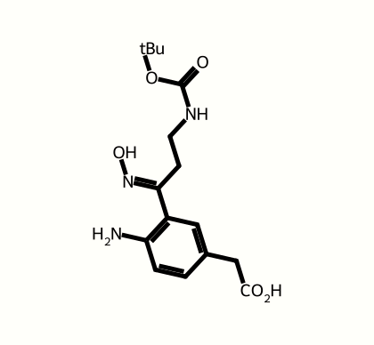 CC(C)(C)OC(=O)NCCC(=NO)c1cc(CC(=O)O)ccc1N